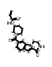 C=CC(=O)N[C@@H]1CCCN(C(=O)c2ccc3cc4n(c3c2)CCNC4=O)C1